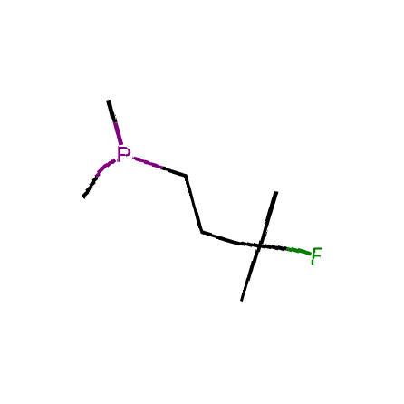 CP(C)CCC(C)(C)F